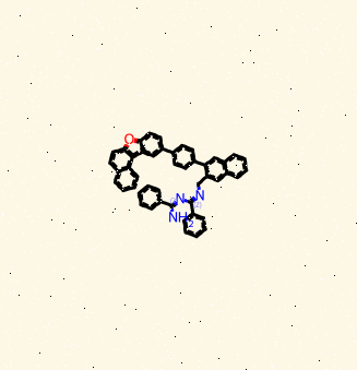 N/C(=N\C(=N/Cc1cc2ccccc2cc1-c1ccc(-c2ccc3oc4ccc5ccccc5c4c3c2)cc1)c1ccccc1)c1ccccc1